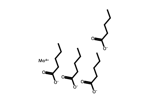 CCCCC(=O)[O-].CCCCC(=O)[O-].CCCCC(=O)[O-].CCCCC(=O)[O-].[Mo+4]